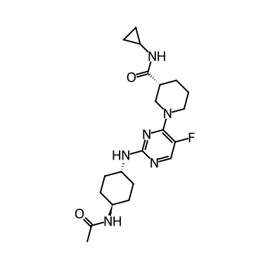 CC(=O)N[C@H]1CC[C@H](Nc2ncc(F)c(N3CCC[C@@H](C(=O)NC4CC4)C3)n2)CC1